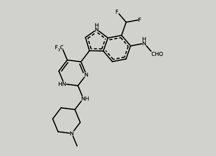 CN1CCCC(NC2N=C(c3c[nH]c4c(C(F)F)c(NC=O)ccc34)C(C(F)(F)F)=CN2)C1